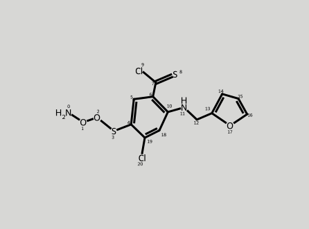 NOOSc1cc(C(=S)Cl)c(NCc2ccco2)cc1Cl